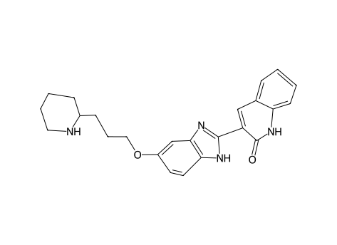 O=c1[nH]c2ccccc2cc1-c1nc2cc(OCCCC3CCCCN3)ccc2[nH]1